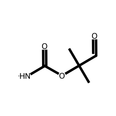 CC(C)(C=O)OC([NH])=O